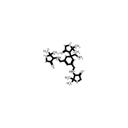 CC1(C)SCC(=O)C1NCC1=CC(CN)(C2C(=O)CSC2(C)C)CC(CNC2C(=O)CSC2(C)C)=C1